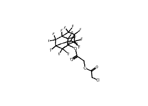 O=C(CCl)OCC(=O)OC12C(F)(F)C3(F)C(F)(F)C(F)(C(F)(F)C(F)(C3(F)F)C1(F)F)C2(F)F